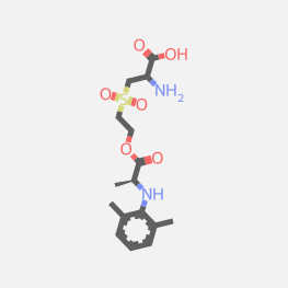 Cc1cccc(C)c1N[C@@H](C)C(=O)OCCS(=O)(=O)CC(N)C(=O)O